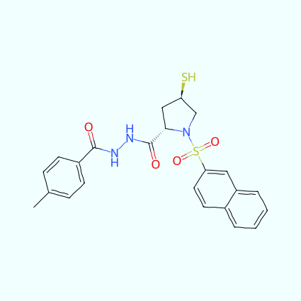 Cc1ccc(C(=O)NNC(=O)[C@@H]2C[C@@H](S)CN2S(=O)(=O)c2ccc3ccccc3c2)cc1